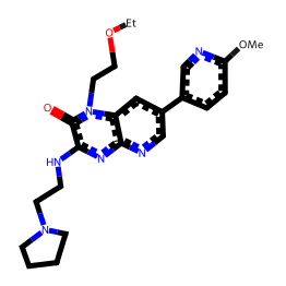 CCOCCn1c(=O)c(NCCN2CCCC2)nc2ncc(-c3ccc(OC)nc3)cc21